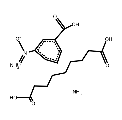 N.N.O=C(O)CCCCCCCC(=O)O.O=C(O)c1cccc([N+](=O)[O-])c1